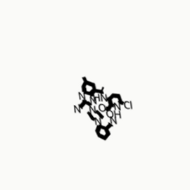 Cc1cc([C@@H](C)Nc2ccc(Cl)nc2C(=O)O)c2nc(N3CCN(c4ccccc4C#N)CC3)c(C#N)nc2c1